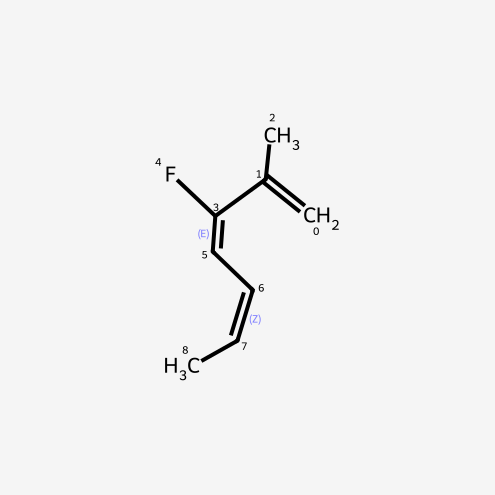 C=C(C)/C(F)=C\C=C/C